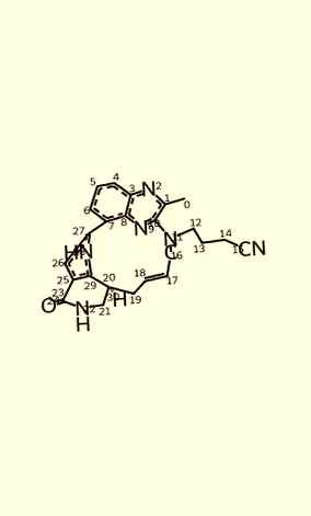 Cc1nc2cccc3c2nc1N(CCCC#N)C/C=C/C[C@H]1CNC(=O)c2cc-3[nH]c21